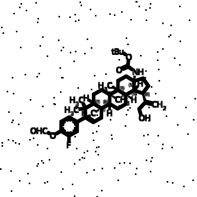 C=C(CO)[C@@H]1CC[C@]2(NC(=O)OC(C)(C)C)CC[C@]3(C)[C@H](CC[C@@H]4[C@@]5(C)CC=C(c6ccc(OC=O)c(F)c6)C(C)(C)[C@@H]5CC[C@]43C)[C@@H]12